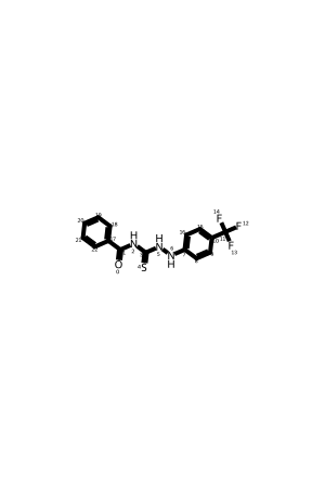 O=C(NC(=S)NNc1ccc(C(F)(F)F)cc1)c1ccccc1